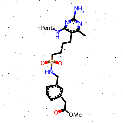 CCCCCNc1nc(N)nc(C)c1CCCCS(=O)(=O)NCc1cccc(CC(=O)OC)c1